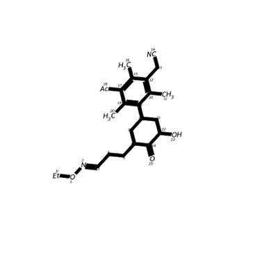 CCON=CCCC1CC(c2c(C)c(CC#N)c(C)c(C(C)=O)c2C)CC(O)C1=O